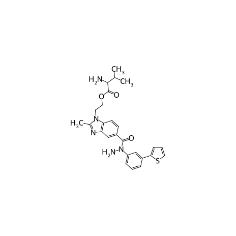 Cc1nc2cc(C(=O)N(N)c3cccc(-c4cccs4)c3)ccc2n1CCOC(=O)C(N)C(C)C